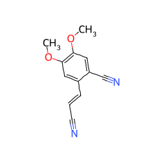 COc1cc(C#N)c(C=CC#N)cc1OC